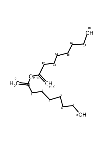 C=C(CCCCCCO)OC(=C)CCCCCCO